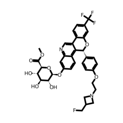 COC(=O)[C@H]1O[C@@H](Oc2ccc3c4c(cnc3c2)-c2ccc(C(F)(F)F)cc2O[C@@H]4c2ccc(OCCN3CC(CF)C3)cc2)[C@H](O)[C@@H](O)[C@@H]1O